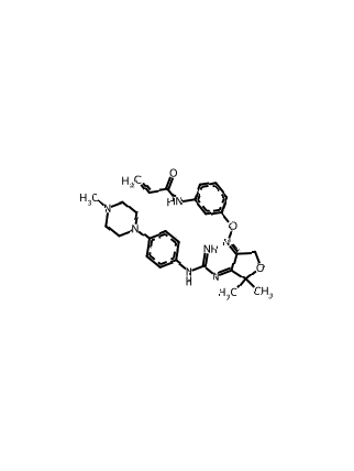 C=CC(=O)Nc1cccc(O/N=C2\COC(C)(C)\C2=N\C(=N)Nc2ccc(N3CCN(C)CC3)cc2)c1